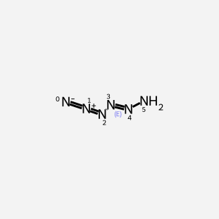 [N-]=[N+]=N/N=N/N